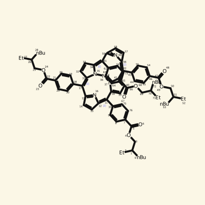 CCCCC(CC)COC(=O)c1ccc(/C2=C3\C=CC(=N3)/C(c3ccc(C(=O)OCC(CC)CCCC)cc3)=c3/cc/c4n3Nn3c2ccc3/C(c2ccc(C(=O)OCC(CC)CCCC)cc2)=C2/C=CC(=N2)/C=4c2ccc(C(=O)OCC(CC)CCCC)cc2)cc1